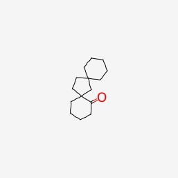 O=C1CCCCC12CCC1(CCCCC1)C2